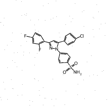 NS(=O)(=O)c1ccc(-n2nc(-c3ccc(F)cc3F)cc2-c2ccc(Cl)cc2)cc1